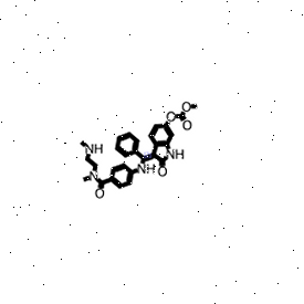 CNCCN(C)C(=O)c1ccc(N/C(=C2\C(=O)Nc3cc(OC(=O)OC)ccc32)c2ccccc2)cc1